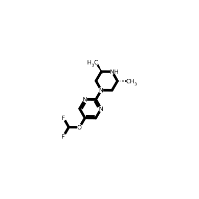 C[C@@H]1CN(c2ncc(OC(F)F)cn2)C[C@@H](C)N1